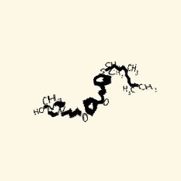 CCC(C)CCCC(C)CCCC(C)(C)Sc1ccc(/C=C/C(=O)c2ccc(OCCCCN3CCN(C(C)O)CC3)cc2)cc1